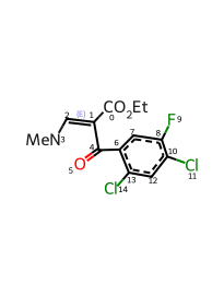 CCOC(=O)/C(=C/NC)C(=O)c1cc(F)c(Cl)cc1Cl